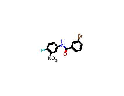 O=C(Nc1ccc(F)c([N+](=O)[O-])c1)c1cccc(Br)c1